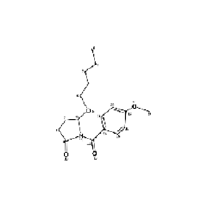 CCCCCOC1CCC(=O)N1C(=O)c1ccc(OC)cc1